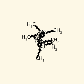 CCCCCCOc1ccc(S(=O)(=O)C(=[N+]=[N-])S(=O)(=O)c2ccc(OCCCCCC)c(OCCCCCC)c2OCCCCCC)c(OCCCCCC)c1OCCCCCC